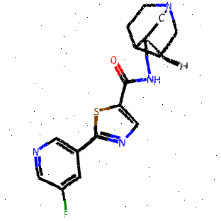 O=C(N[C@H]1CN2CCC1CC2)c1cnc(-c2cncc(F)c2)s1